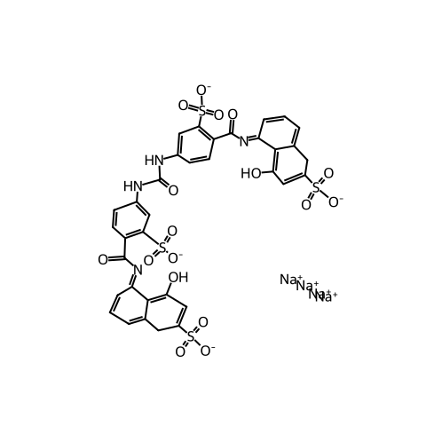 O=C(Nc1ccc(C(=O)N=C2C=CC=C3CC(S(=O)(=O)[O-])=CC(O)=C32)c(S(=O)(=O)[O-])c1)Nc1ccc(C(=O)N=C2C=CC=C3CC(S(=O)(=O)[O-])=CC(O)=C32)c(S(=O)(=O)[O-])c1.[Na+].[Na+].[Na+].[Na+]